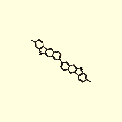 Cc1ccc2c(c1)sc1cc3cc(-c4ccc5cc6c(cc5c4)sc4cc(C)ccc46)ccc3cc12